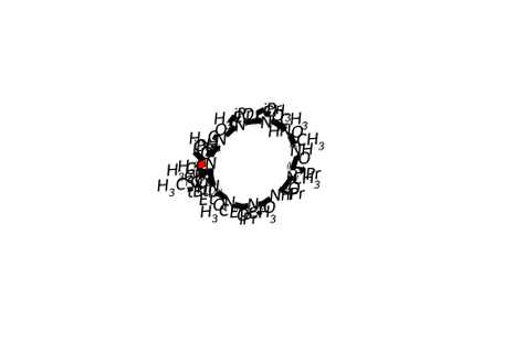 CC[C@@H]1C(=O)N(C)[C@@H](CC(C)C)C(=O)N[C@H](C(C)C)C(=O)N(C)[C@H](CC(C)C)C(=O)N[C@H](C)C(=O)N[C@H](C)C(=O)N(C)[C@H](CC(C)C)C(=O)N(C)[C@H](CC(C)C)C(=O)N(C)[C@H](C(C)C)C(=O)N(C)[C@H]([C@@H](O[Si](C)(C)C(C)(C)C)[C@H](C)CCO)C(=O)N[C@H](CC)C(=O)N1C